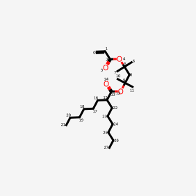 C=CC(=O)OC(C)(C)CC(C)(C)OC(=O)C(CCCCCC)CCCCCC